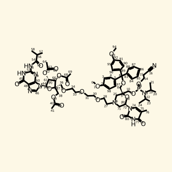 COc1ccc(C(OC[C@]2(COP(OCCC#N)N(C(C)C)C(C)C)CN(CCOCCOCCOC[C@]3(COC(C)=O)O[C@@H](n4cnc5c(=O)[nH]c(NC(=O)C(C)C)nc54)[C@H](OC(C)=O)[C@@H]3OC(C)=O)C[C@H](n3cc(C)c(=O)[nH]c3=O)O2)(c2ccccc2)c2ccc(OC)cc2)cc1